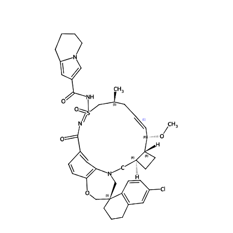 CO[C@H]1/C=C/C[C@H](C)CS(=O)(NC(=O)c2cc3n(c2)CCCC3)=NC(=O)c2ccc3c(c2)N(C[C@@H]2CC[C@H]21)C[C@@]1(CCCc2cc(Cl)ccc21)CO3